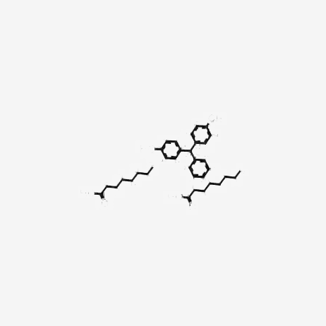 CCCCCCCC(=O)O.CCCCCCCC(=O)O.Oc1ccc(C(c2ccccc2)c2ccc(O)cc2)cc1